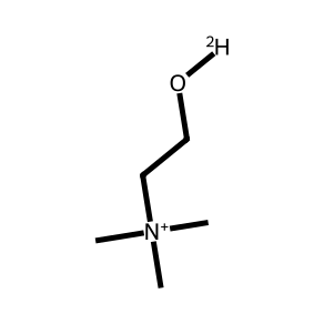 [2H]OCC[N+](C)(C)C